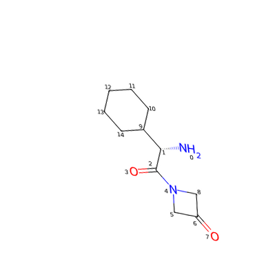 N[C@H](C(=O)N1CC(=O)C1)C1CCCCC1